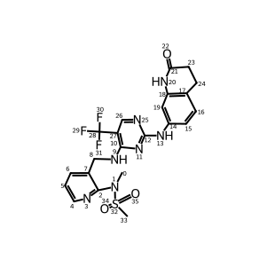 CN(c1ncccc1CNc1nc(Nc2ccc3c(c2)NC(=O)CC3)ncc1C(F)(F)F)S(C)(=O)=O